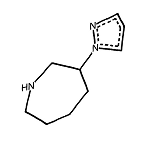 c1cnn(C2CCCCNC2)c1